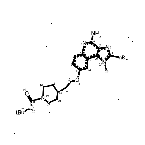 CCCCc1nc2c(N)nc3ccc(OCCC4CCN(C(=O)OC(C)(C)C)CC4)cc3c2n1C